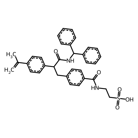 C=C(C)c1ccc(C(Cc2ccc(C(=O)NCCS(=O)(=O)O)cc2)C(=O)NC(c2ccccc2)c2ccccc2)cc1